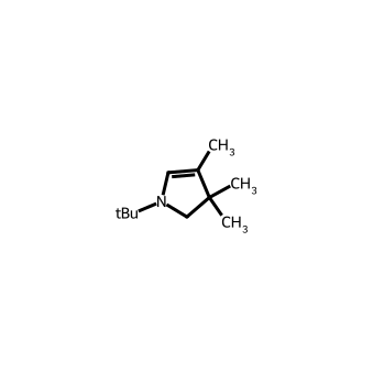 CC1=CN(C(C)(C)C)CC1(C)C